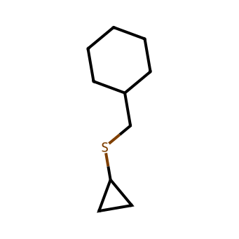 C1CCC(CSC2CC2)CC1